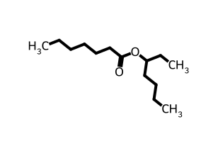 CCCCCCC(=O)OC(CC)CCCC